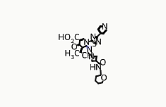 CC(C)=C1C(=O)C(C(=O)O)=CN(c2nc(-c3ccncc3)ns2)/C1=N/CN1CC(C(=O)NCC2CCCCO2)C1